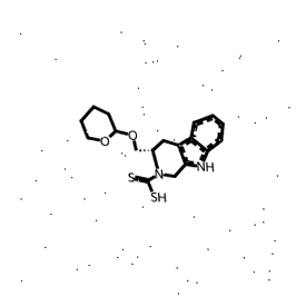 S=C(S)N1Cc2[nH]c3ccccc3c2C[C@H]1COC1CCCCO1